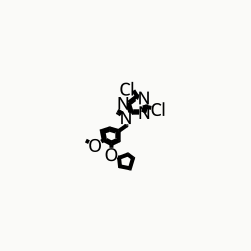 COc1ccc(Cn2cnc3c(Cl)nc(Cl)nc32)cc1OC1CCCC1